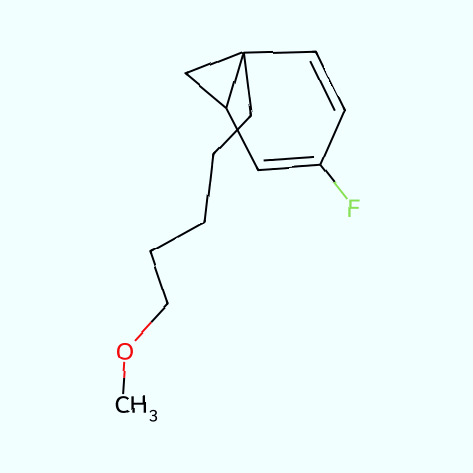 COCCCCCC12C=CC(F)=CC1C2